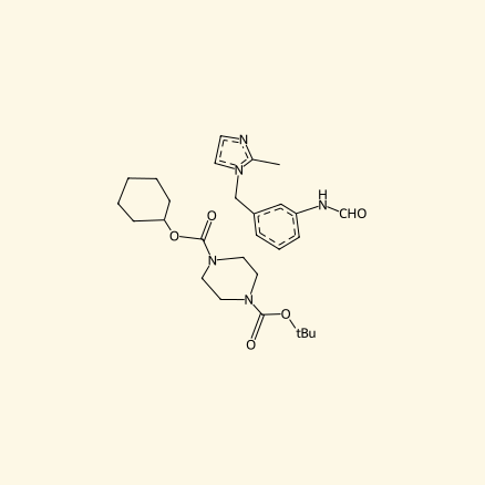 CC(C)(C)OC(=O)N1CCN(C(=O)OC2CCCCC2)CC1.Cc1nccn1Cc1cccc(NC=O)c1